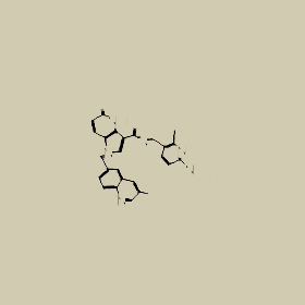 Cc1nc(N)ccc1CNC(=O)c1cn(Cc2ccc3ncc(Cl)cc3c2)c2ccc(=O)[nH]c12